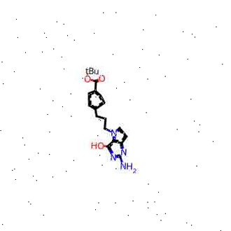 CC(C)(C)OC(=O)c1ccc(CCCn2ccc3nc(N)nc(O)c32)cc1